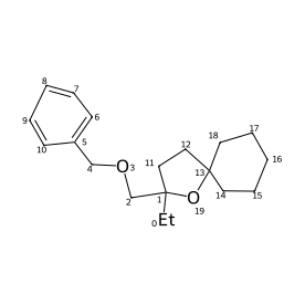 CCC1(COCc2ccccc2)CCC2(CCCCC2)O1